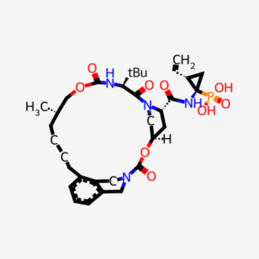 C=C[C@@H]1C[C@]1(NC(=O)[C@@H]1C[C@@H]2CN1C(=O)[C@H](C(C)(C)C)NC(=O)OC[C@@H](C)CCCCc1cccc3c1CN(C3)C(=O)O2)P(=O)(O)O